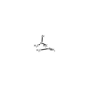 CCCCC.C[C](=O)[Al]([CH3])[CH3].[AlH3]